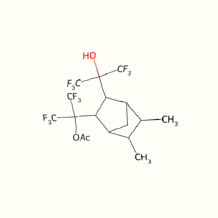 CC(=O)OC(C1C2CC(C(C)C2C)C1C(O)(C(F)(F)F)C(F)(F)F)(C(F)(F)F)C(F)(F)F